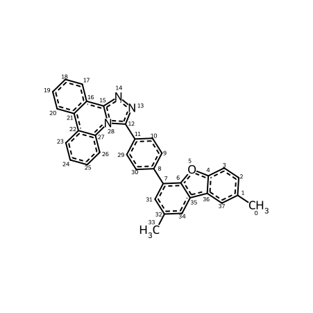 Cc1ccc2oc3c(-c4ccc(-c5nnc6c7ccccc7c7ccccc7n56)cc4)cc(C)cc3c2c1